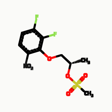 C[C@@H](COc1c([N+](=O)[O-])ccc(F)c1F)OS(C)(=O)=O